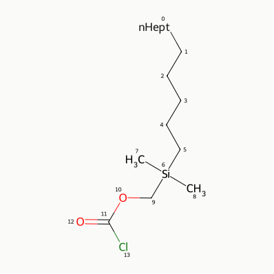 CCCCCCCCCCCC[Si](C)(C)COC(=O)Cl